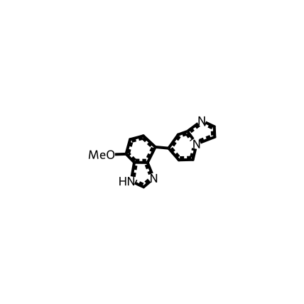 COc1ccc(-c2ccn3ccnc3c2)c2nc[nH]c12